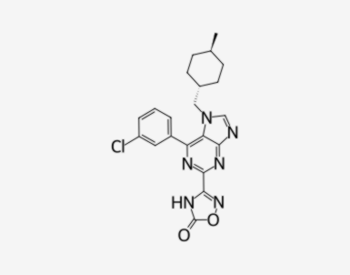 C[C@H]1CC[C@H](Cn2cnc3nc(-c4noc(=O)[nH]4)nc(-c4cccc(Cl)c4)c32)CC1